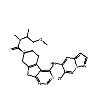 COCC(C)N(C)C(=O)[C@H]1CCc2c(sc3ncnc(Nc4cc5ccnn5cc4Cl)c23)C1